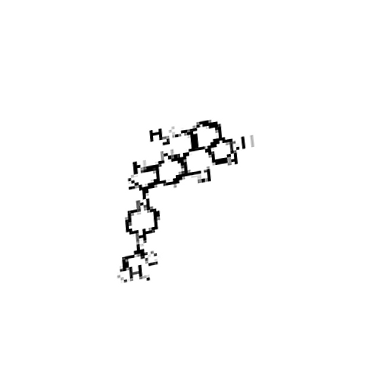 C=CC(=O)N1CCN(c2snc3nc(-c4c(C)ccc5[nH]ncc45)c(Cl)cc23)CC1